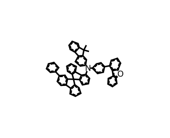 CC1(C)c2ccccc2-c2ccc(N(c3ccc(-c4cccc5oc6ccccc6c45)cc3)c3cccc4c3-c3ccccc3C43c4ccccc4-c4ccc(-c5ccccc5)cc43)cc21